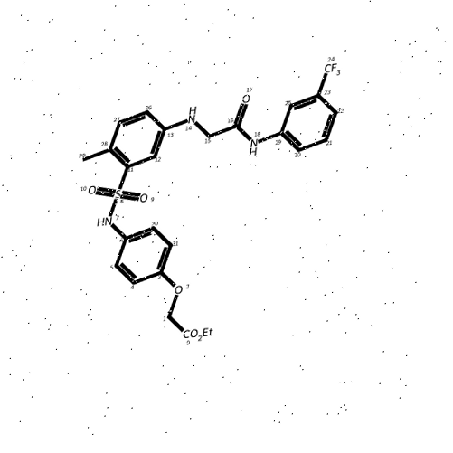 CCOC(=O)COc1ccc(NS(=O)(=O)c2cc(NCC(=O)Nc3cccc(C(F)(F)F)c3)ccc2C)cc1